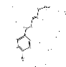 CC(=O)OCC=CCOc1ccc(Br)cc1